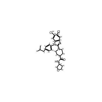 CC(C)Cc1ccc(-n2c(N3CCC(C(=O)NC4CCOC4)CC3)nc3cc(Cl)c(Cl)cc32)cc1